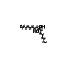 CCCCCCCC(O)(O)CCCCCCCC=O